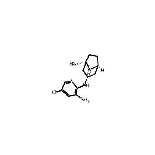 CC(C)(C)[C@@]12CC[C@@H](C[C@@H](Nc3ncc(Cl)cc3N)C1)N2